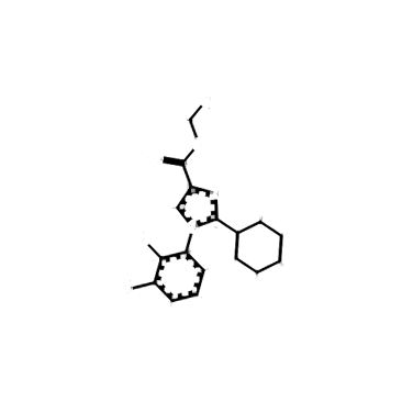 CCOC(=O)c1cn(-c2cccc(Cl)c2F)c(C2CCCCC2)n1